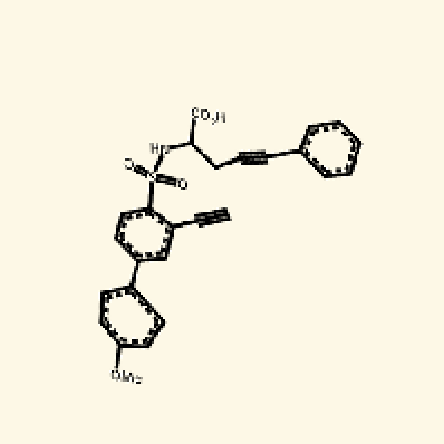 C#Cc1cc(-c2ccc(OC)cc2)ccc1S(=O)(=O)NC(CC#Cc1ccccc1)C(=O)O